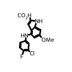 COc1cc(Nc2ccc(F)c(Cl)c2)c2cc(C(=O)O)[nH]c2c1